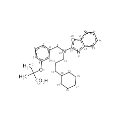 CC(C)(Oc1cccc(CN(CCCC2CCCCC2)c2nc3ccccc3o2)c1)C(=O)O